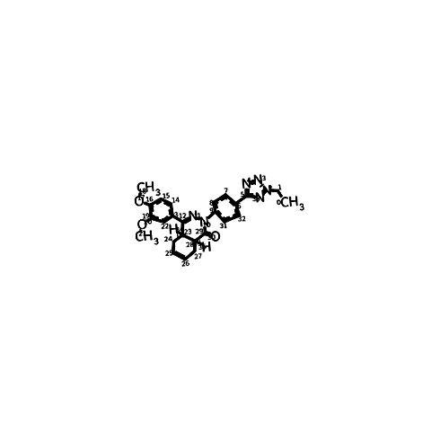 CCn1nnc(-c2ccc(N3N=C(c4ccc(OC)c(OC)c4)[C@H]4CC=CC[C@H]4C3=O)cc2)n1